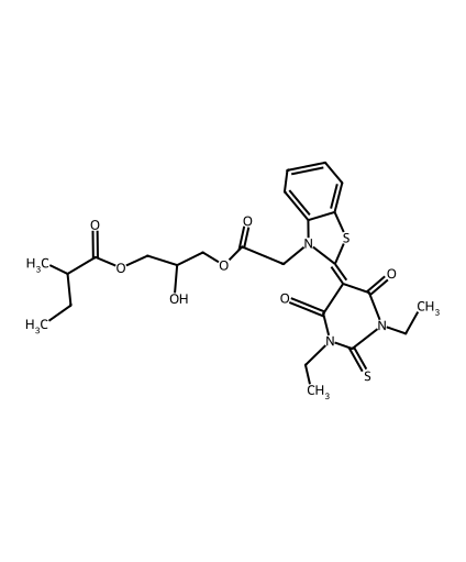 CCC(C)C(=O)OCC(O)COC(=O)CN1C(=C2C(=O)N(CC)C(=S)N(CC)C2=O)Sc2ccccc21